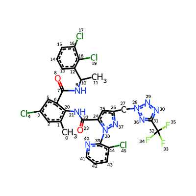 Cc1cc(Cl)cc(C(=O)NC(C)c2cccc(Cl)c2Cl)c1NC(=O)c1cc(Cn2nnc(C(F)(F)F)n2)nn1-c1ncccc1Cl